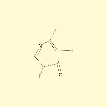 [CH2]C1=C(I)C(=O)C(I)C=N1